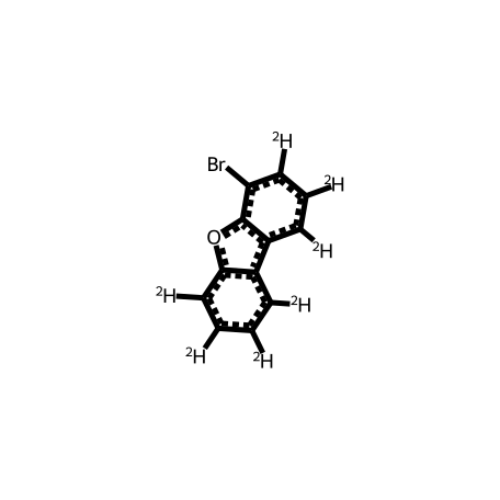 [2H]c1c([2H])c([2H])c2c(oc3c(Br)c([2H])c([2H])c([2H])c32)c1[2H]